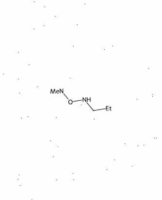 CCCNONC